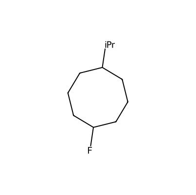 CC(C)C1CCCC(F)CCC1